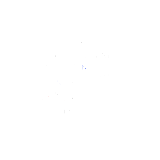 CCOC(=O)CN(C(=O)C(C)(C)C)C1CCCCN(C(=O)OC(C)(C)C)C1